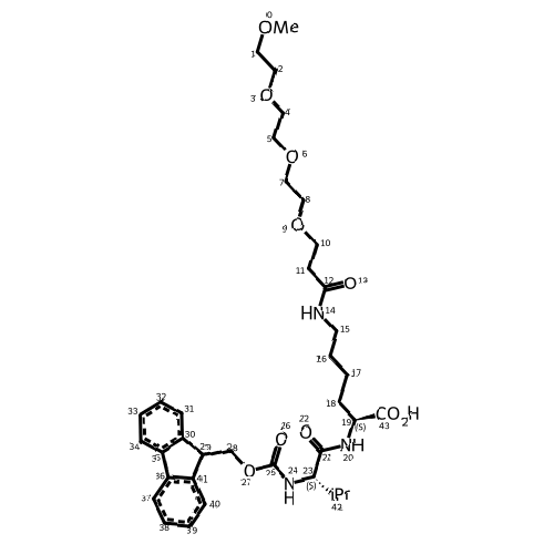 COCCOCCOCCOCCC(=O)NCCCC[C@H](NC(=O)[C@@H](NC(=O)OCC1c2ccccc2-c2ccccc21)C(C)C)C(=O)O